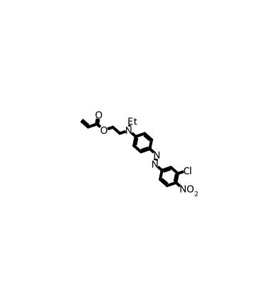 C=CC(=O)OCCN(CC)c1ccc(/N=N/c2ccc([N+](=O)[O-])c(Cl)c2)cc1